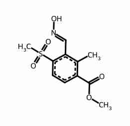 COC(=O)c1ccc(S(C)(=O)=O)c(C=NO)c1C